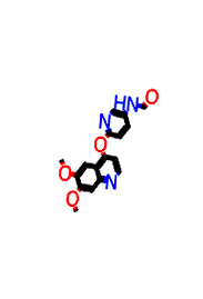 COc1cc2nccc(Oc3ccc(NC=O)cn3)c2cc1OC